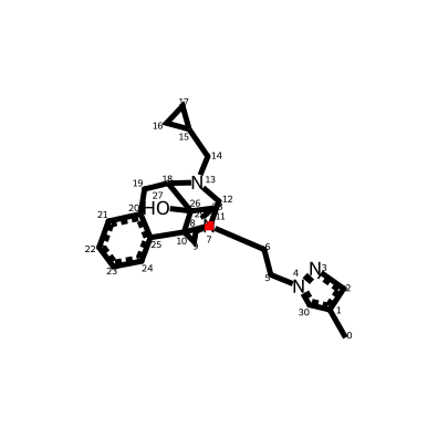 Cc1cnn(CCN2CCC34CCN(CC5CC5)C(Cc5ccccc53)C4(O)CC2)c1